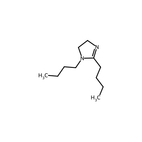 CCCCC1=NCCN1CCCC